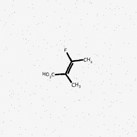 C/C(F)=C(\C)C(=O)O